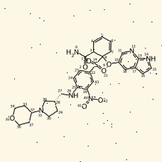 NC(=O)C1C=CC=CC1(Oc1cnc2[nH]ccc2c1)S(=O)(=O)c1ccc(NC[C@@H]2CCN(C3CCOCC3)C2)c([N+](=O)[O-])c1